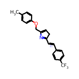 Cc1ccc(OCC2=CCC(/C=C/c3ccc(C(F)(F)F)cc3)=N2)cc1